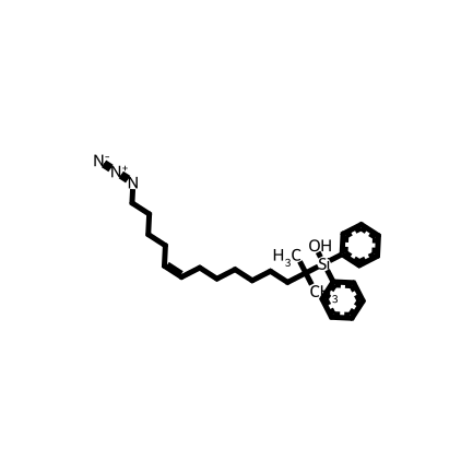 CC(C)(CCCCCC/C=C\CCCCN=[N+]=[N-])[Si](O)(c1ccccc1)c1ccccc1